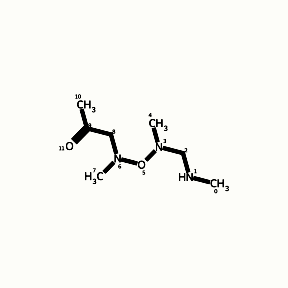 CNCN(C)ON(C)CC(C)=O